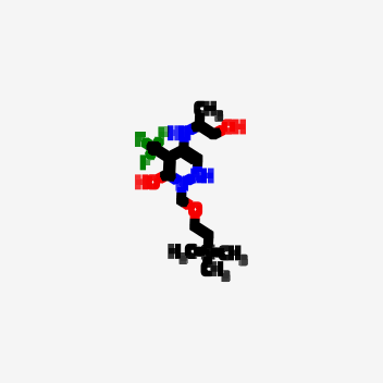 CC(CO)NC1=CNN(COCC[Si](C)(C)C)C(O)=C1C(F)(F)F